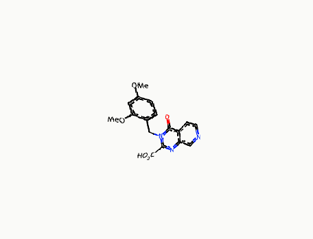 COc1ccc(Cn2c(C(=O)O)nc3cnccc3c2=O)c(OC)c1